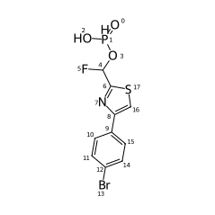 O=[PH](O)OC(F)c1nc(-c2ccc(Br)cc2)cs1